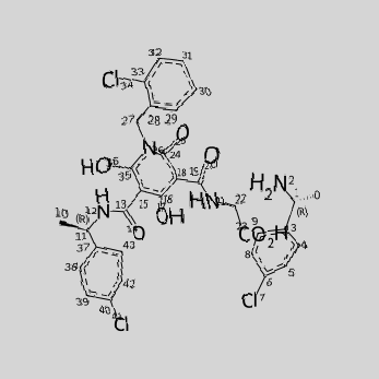 C[C@@H](N)c1ccc(Cl)cc1.C[C@@H](NC(=O)c1c(O)c(C(=O)NCC(=O)O)c(=O)n(Cc2ccccc2Cl)c1O)c1ccc(Cl)cc1